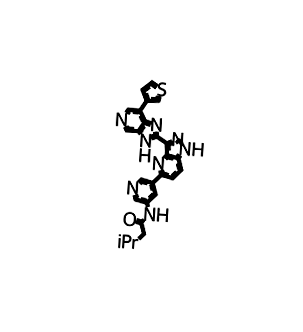 CC(C)CC(=O)Nc1cncc(-c2ccc3[nH]nc(-c4nc5c(-c6ccsc6)cncc5[nH]4)c3n2)c1